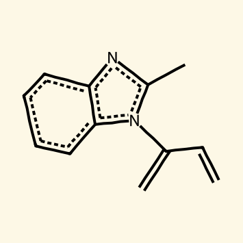 C=CC(=C)n1c(C)nc2ccccc21